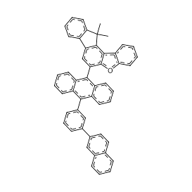 CC1(C)c2ccccc2-c2cc(-c3c4ccccc4c(-c4cccc(-c5ccc6ccccc6c5)c4)c4ccccc34)c3oc4ccccc4c3c21